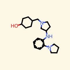 OC1CCC(CN2CCC(Nc3ccccc3N3CCCC3)C2)CC1